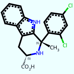 C[C@@]1(c2ccc(Cl)cc2Cl)N[C@H](C(=O)O)Cc2c1[nH]c1ccccc21